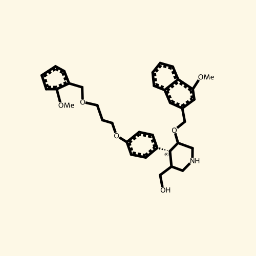 COc1ccccc1COCCCOc1ccc([C@H]2C(CO)CNCC2OCc2cc(OC)c3ccccc3c2)cc1